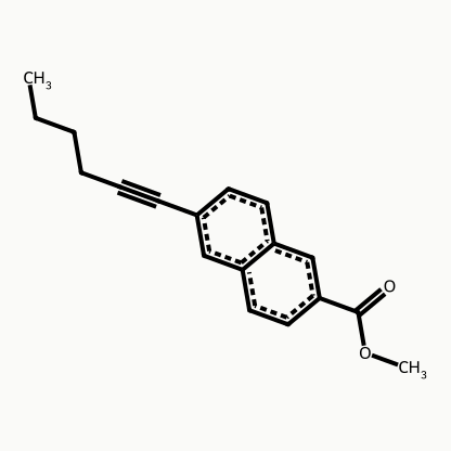 CCCCC#Cc1ccc2cc(C(=O)OC)ccc2c1